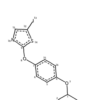 CC(C)Oc1ccc(Oc2ncc(I)s2)cc1